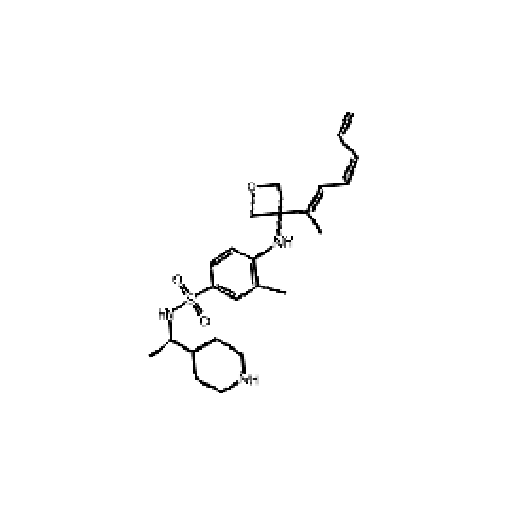 C=C/C=C\C=C(/C)C1(Nc2ccc(S(=O)(=O)N[C@H](C)C3CCNCC3)cc2C)COC1